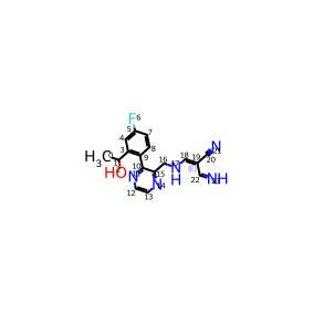 CC(O)c1cc(F)ccc1-c1nccnc1CN/C=C(/C#N)C=N